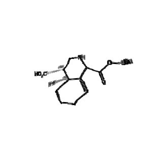 CC(C)(C)OC(=O)C1NC[C@@H](C(=O)O)[C@@H]2CCCC=C12